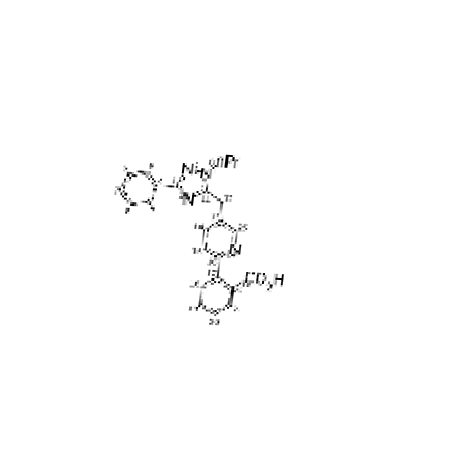 CCCn1nc(-c2ccccc2)nc1Cc1ccc(-c2ccccc2C(=O)O)nc1